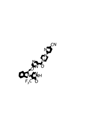 N#Cc1ccc(N2CCN(C(=O)c3cncc(OC[C@@H]4c5ccccc5CN4c4cn[nH]c(=O)c4C(F)(F)F)n3)CC2)nc1